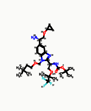 CC(C)(C)OC(=O)N[C@@H](COC(C)(C)C(F)(F)F)c1nc2cc([C@H](N)COC3CC3)ccc2n1COCC[Si](C)(C)C